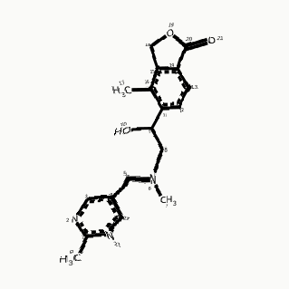 Cc1ncc(CN(C)CC(O)c2ccc3c(c2C)COC3=O)cn1